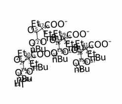 CCCCOC(OCCCC)C(=O)C(CC)(CC)C(=O)[O-].CCCCOC(OCCCC)C(=O)C(CC)(CC)C(=O)[O-].CCCCOC(OCCCC)C(=O)C(CC)(CC)C(=O)[O-].CCCCOC(OCCCC)C(=O)C(CC)(CC)C(=O)[O-].[Hf+4]